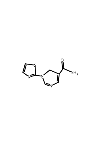 NC(=O)C1=CN=CN(c2nccs2)C1